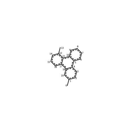 Cc1ccc2c3ccccc3c3c(C)cccc3c2c1